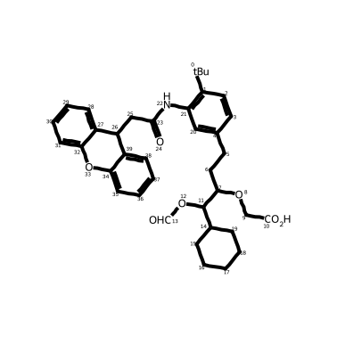 CC(C)(C)c1ccc(CCC(OCC(=O)O)C(OC=O)C2CCCCC2)cc1NC(=O)CC1c2ccccc2Oc2ccccc21